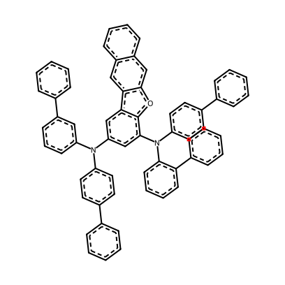 c1ccc(-c2ccc(N(c3cccc(-c4ccccc4)c3)c3cc(N(c4ccc(-c5ccccc5)cc4)c4ccccc4-c4ccccc4)c4oc5cc6ccccc6cc5c4c3)cc2)cc1